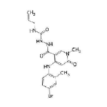 C=CCNC(=O)NNC(=O)c1cn(C)c(=O)cc1Nc1ccc(Br)cc1C